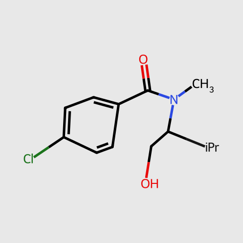 CC(C)C(CO)N(C)C(=O)c1ccc(Cl)cc1